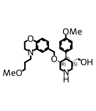 COCCCN1CCOc2ccc(CO[C@H]3CNC[C@@H](CO)[C@@H]3c3ccc(OC)cc3)cc21